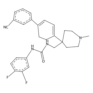 CN1CCC(CNC(=O)Nc2ccc(F)c(F)c2)(C2=CC=C(c3cccc(C#N)c3)CC2)CC1